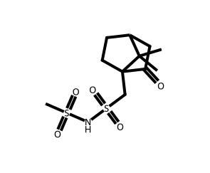 CC1(C)C2CCC1(CS(=O)(=O)NS(C)(=O)=O)C(=O)C2